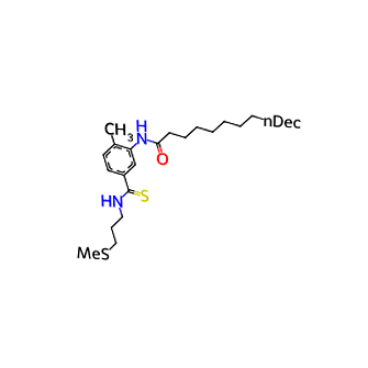 CCCCCCCCCCCCCCCCCC(=O)Nc1cc(C(=S)NCCCSC)ccc1C